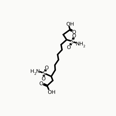 NS(=O)(=O)C(CCCCCCC(CC(=O)O)S(N)(=O)=O)CC(=O)O